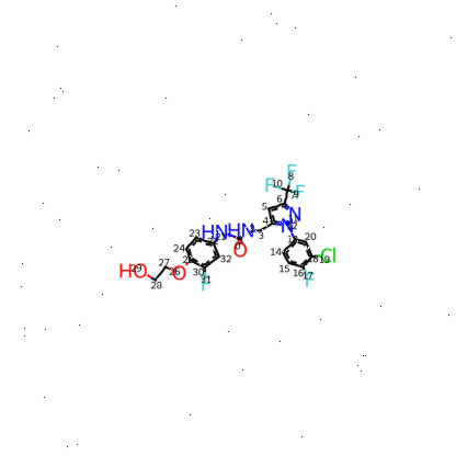 O=C(NCc1cc(C(F)(F)F)nn1-c1ccc(F)c(Cl)c1)Nc1ccc(OCCO)c(F)c1